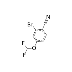 N#Cc1ccc(OC(F)F)cc1Br